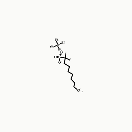 CC[N+](CC)(CC)CC.O=S(=O)([O-])C(F)(F)CCCCCCCC(F)(F)F